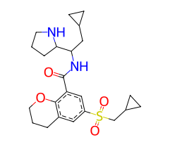 O=C(NC(CC1CC1)C1CCCN1)c1cc(S(=O)(=O)CC2CC2)cc2c1OCCC2